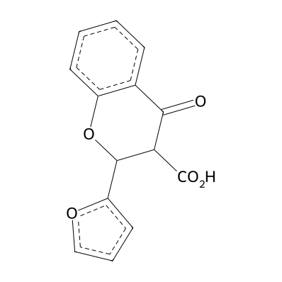 O=C(O)C1C(=O)c2ccccc2OC1c1ccco1